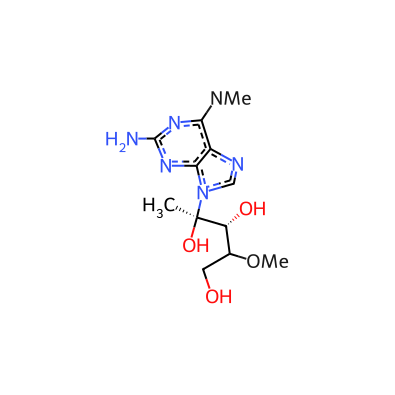 CNc1nc(N)nc2c1ncn2[C@](C)(O)[C@H](O)C(CO)OC